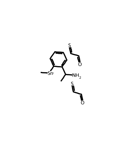 O=CC=S.O=CC=S.[CH3][Sn][c]1ccccc1C(C)N